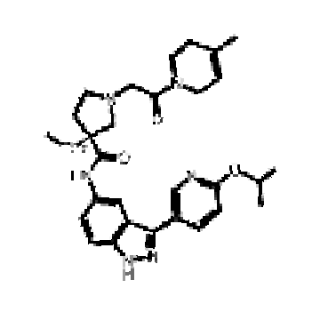 CO[C@@]1(C(=O)Nc2ccc3[nH]nc(-c4ccc(OC(C)C)nc4)c3c2)CCN(CC(=O)N2CC=C(C)CC2)C1